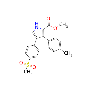 COC(=O)c1[nH]cc(-c2ccc(S(C)(=O)=O)cc2)c1-c1ccc(C)cc1